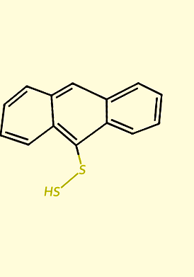 SSc1c2ccccc2cc2ccccc12